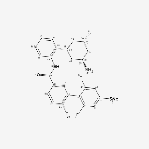 CSc1cc(F)c(-c2nc(C(=O)Nc3cnccc3[C@@H]3C[C@H](C)C[C@@H](N)C3)ccc2F)c(F)c1